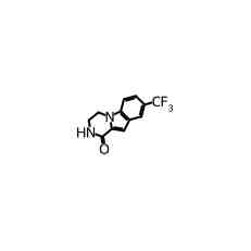 O=C1NCCn2c1cc1cc(C(F)(F)F)ccc12